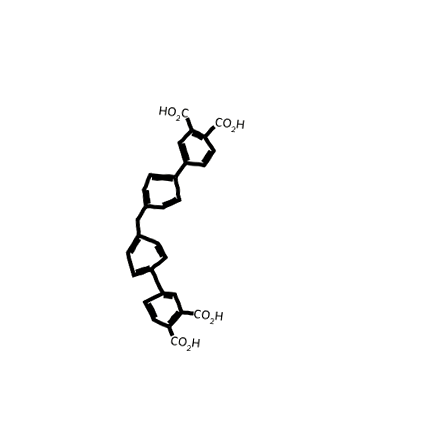 O=C(O)c1ccc(-c2ccc(Cc3ccc(-c4ccc(C(=O)O)c(C(=O)O)c4)cc3)cc2)cc1C(=O)O